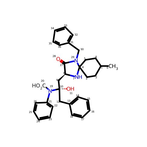 CC1CCC2(CC1)N[C@@H](C[C@@](O)(Cc1ccccc1)N(C(=O)O)c1ccccc1)C(=O)N2Cc1ccccc1